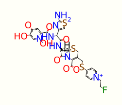 Nc1nc(C(NC(=O)c2cc(=O)c(O)cn2O)C(=O)N[C@@H]2C(=O)N3C(C(=O)[O-])=C(CSc4cc[n+](CCF)cc4)CS[C@H]23)cs1